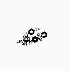 CCn1cnc2c(Nc3ccc(S(=O)(=O)N4CCCCC4)cc3)nc(N[C@H]3CC[C@H](O)CC3)nc21